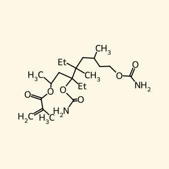 C=C(C)C(=O)OC(C)CC(CC)(OC(N)=O)C(C)(CC)CC(C)CCOC(N)=O